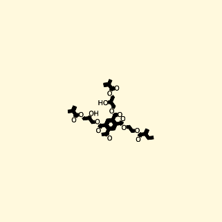 C=C(C)C(=O)OCC(O)COC(=O)c1cc(C(=O)OCC(O)COC(=O)C(=C)C)c(C(=O)OCCOC(=O)C(=C)CC)cc1C(C)=O